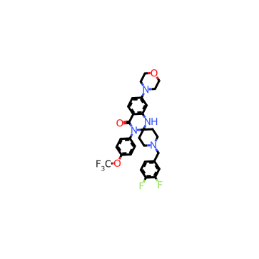 O=C1c2ccc(N3CCOCC3)cc2NC2(CCN(Cc3ccc(F)c(F)c3)CC2)N1c1ccc(OC(F)(F)F)cc1